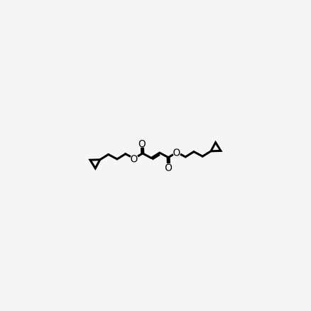 O=C(C=CC(=O)OCCCC1CC1)OCCCC1CC1